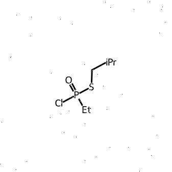 CCP(=O)(Cl)SCC(C)C